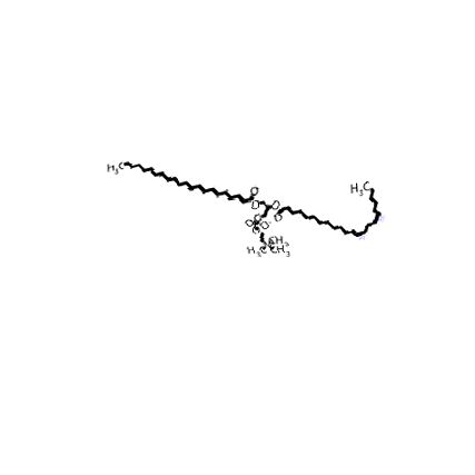 CCCCC/C=C\C/C=C\CCCCCCCCCCCC(=O)O[C@H](COC(=O)CCCCCCCCCCCCCCCCCCCCC)COP(=O)([O-])OCC[N+](C)(C)C